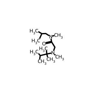 CC(C)CN(C)C(=O)CN(C)C(C)(C)C(C)C